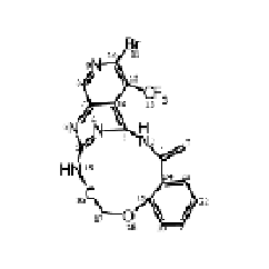 C=C1Nc2nc(nc3cnc(Br)c(C(F)(F)F)c23)NCCOc2ccccc21